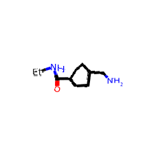 CCNC(=O)C1CCC(CN)CC1